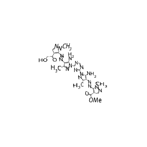 COC(=O)c1cnn(C)c1/N=N/c1c(C)nn(-c2ncnc(-n3nc(C)c(/N=N/c4c(C(=O)CO)cnn4C)c3N)n2)c1N